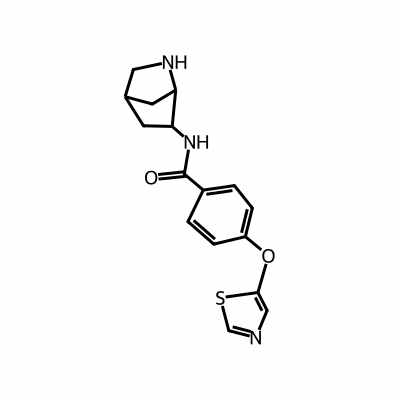 O=C(NC1CC2CNC1C2)c1ccc(Oc2cncs2)cc1